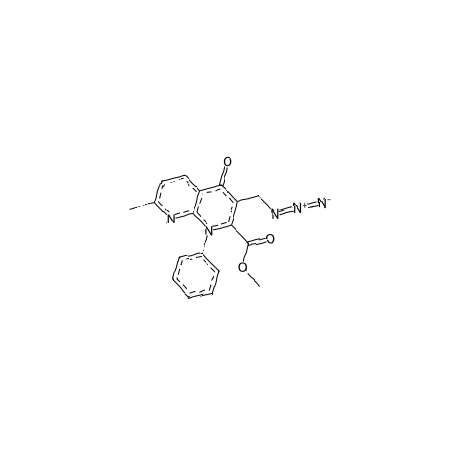 COC(=O)c1c(CN=[N+]=[N-])c(=O)c2ccc(C)nc2n1-c1ccccc1